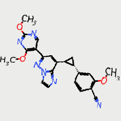 COc1ncc(-c2cc([C@H]3C[C@@H]3c3ccc(C#N)c(OC)c3)c3nccn3n2)c(OC)n1